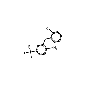 Nc1ccc(C(F)(F)F)cc1Cc1ccccc1Cl